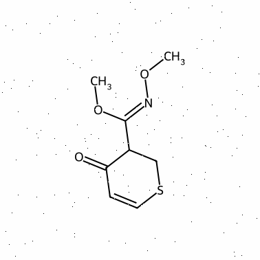 CON=C(OC)C1CSC=CC1=O